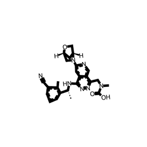 Cc1c(C#N)cccc1[C@@H](C)Nc1nnc(CN(C)C(=O)O)c2cnc(N3C[C@H]4C[C@@H]3CO4)cc12